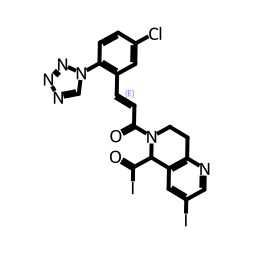 O=C(I)C1c2cc(I)cnc2CCN1C(=O)/C=C/c1cc(Cl)ccc1-n1cnnn1